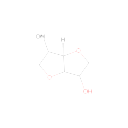 O=NC1COC2C(O)CO[C@H]12